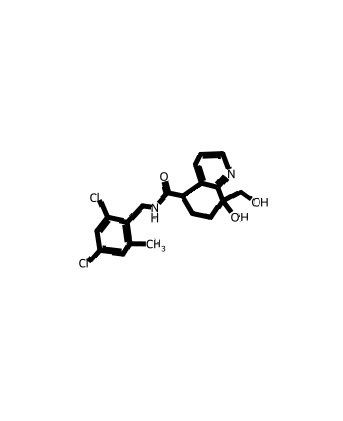 Cc1cc(Cl)cc(Cl)c1CNC(=O)C1CCC(O)(CO)c2ncccc21